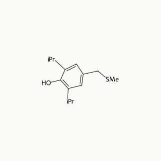 CSCc1cc(C(C)C)c(O)c(C(C)C)c1